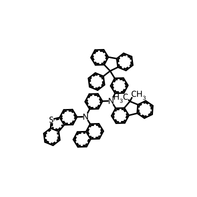 CC1(C)c2ccccc2-c2cccc(N(c3cccc(N(c4ccc5sc6ccccc6c5c4)c4cccc5ccccc45)c3)c3cccc(C4(c5ccccc5)c5ccccc5-c5ccccc54)c3)c21